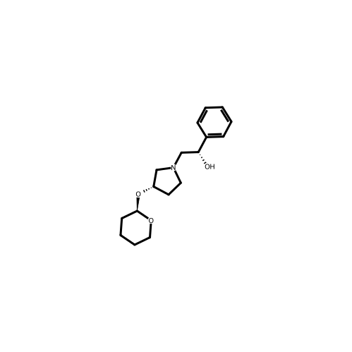 O[C@H](CN1CC[C@H](O[C@@H]2CCCCO2)C1)c1ccccc1